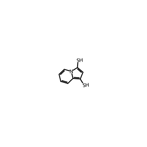 Sc1cc(S)n2ccccc12